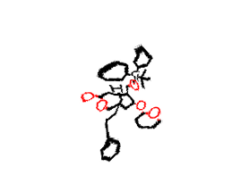 CC(C)(C)[Si](OC[C@@H]1[C@H]2CC(=O)OC[C@@]2(CCc2ccccc2)C[C@H]1OC1CCCCO1)(c1ccccc1)c1ccccc1